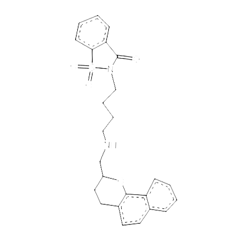 O=C1c2ccccc2S(=O)(=O)N1CCCCNCC1CCc2ccc3ccccc3c2O1